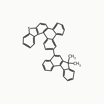 CC1(C)c2ccccc2-c2c1cc(-c1ccc3c(c1)c1ccccc1c1ccc4sc5ccccc5c4c13)c1ccccc21